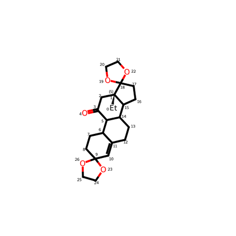 CC[C@]12CC(=O)C3C4CCC5(C=C4CCC3C1CCC21OCCO1)OCCO5